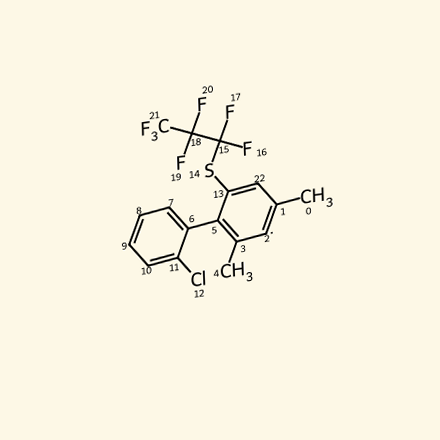 Cc1[c]c(C)c(-c2ccccc2Cl)c(SC(F)(F)C(F)(F)C(F)(F)F)c1